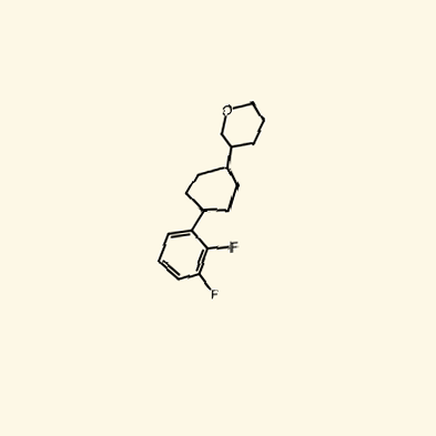 Fc1cccc(C2CCC(C3CCCOC3)CC2)c1F